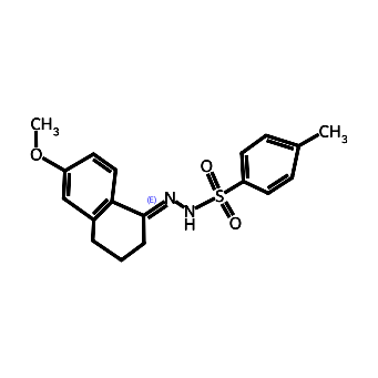 COc1ccc2c(c1)CCC/C2=N\NS(=O)(=O)c1ccc(C)cc1